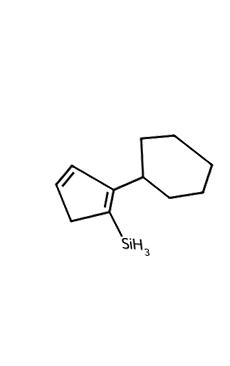 [SiH3]C1=C(C2CCCCC2)C=CC1